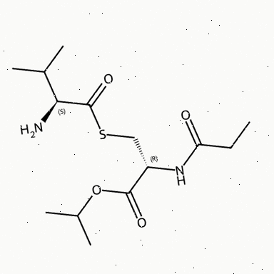 CCC(=O)N[C@@H](CSC(=O)[C@@H](N)C(C)C)C(=O)OC(C)C